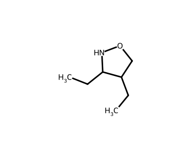 CCC1CONC1CC